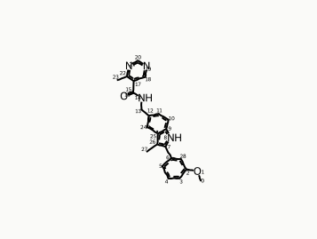 COc1cccc(-c2[nH]c3ccc(CNC(=O)c4cncnc4C)cc3c2C)c1